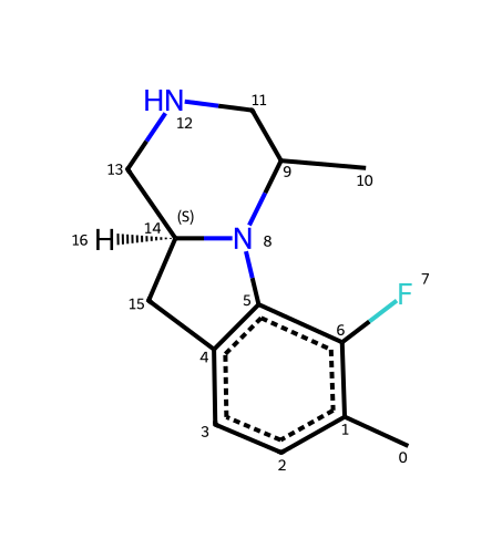 Cc1ccc2c(c1F)N1C(C)CNC[C@@H]1C2